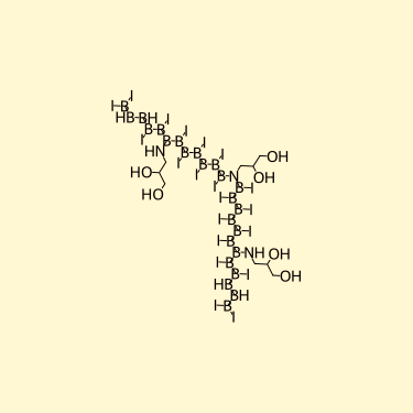 OCC(O)CNB(B(I)B(I)BBB(I)I)B(I)B(I)B(I)B(I)B(I)B(I)N(CC(O)CO)B(I)B(I)B(I)B(I)B(I)B(I)B(NCC(O)CO)B(I)B(I)BBB(I)I